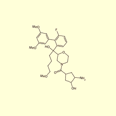 COCCCCC(O)(c1cccc(F)c1-c1cc(OC)cc(OC)c1)C1CN(C(=O)C2CC(N)C(O)C2)CCO1